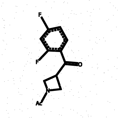 CC(=O)N1CC(C(=O)c2ccc(F)cc2F)C1